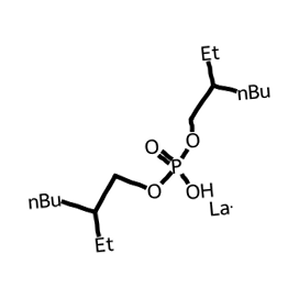 CCCCC(CC)COP(=O)(O)OCC(CC)CCCC.[La]